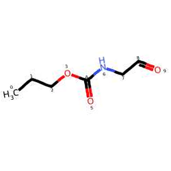 CCCOC(=O)NC[C]=O